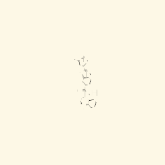 O=C(NC1CCOc2ccccc21)c1ccc2nc(-c3cncc(Cl)c3)sc2c1